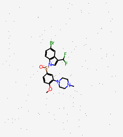 COc1ccc([S+]([O-])n2cc(C(F)F)c3cc(Br)ccc32)cc1N1CCN(C)CC1